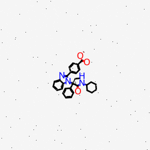 CC[C@@](C(=O)NC1CCCCC1)(c1ccccc1)n1c(-c2ccc(C(=O)OC)cc2)nc2ccccc21